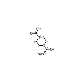 CCC(=O)N1CCN(C(=O)OC)CC1